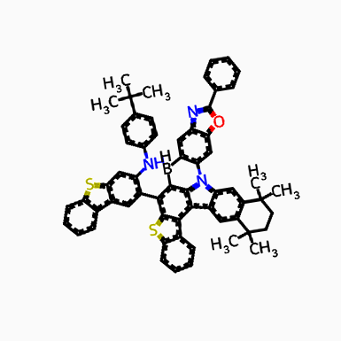 CC(C)(C)c1ccc(Nc2cc3sc4ccccc4c3cc2-c2c3c4c(c5cc6c(cc5n4-c4cc5oc(-c7ccccc7)nc5cc4B3)C(C)(C)CCC6(C)C)c3c2sc2ccccc23)cc1